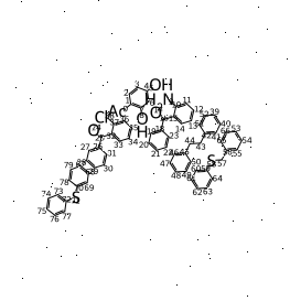 CC(=O)c1ccc(O)cc1O.Nc1ccccc1C(=O)c1ccccc1.O=C(c1ccccc1)c1ccccc1Cl.c1ccc(CCc2ccccc2)cc1.c1ccc(CSc2ccccc2)cc1.c1ccc(Sc2ccccc2)cc1